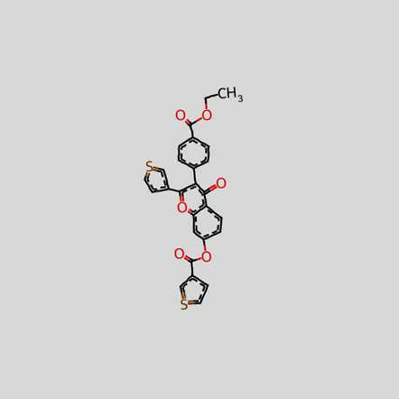 CCOC(=O)c1ccc(-c2c(-c3ccsc3)oc3cc(OC(=O)c4ccsc4)ccc3c2=O)cc1